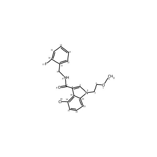 COCCn1cc(C(=O)NCc2ccccc2F)c2c(Cl)cccc21